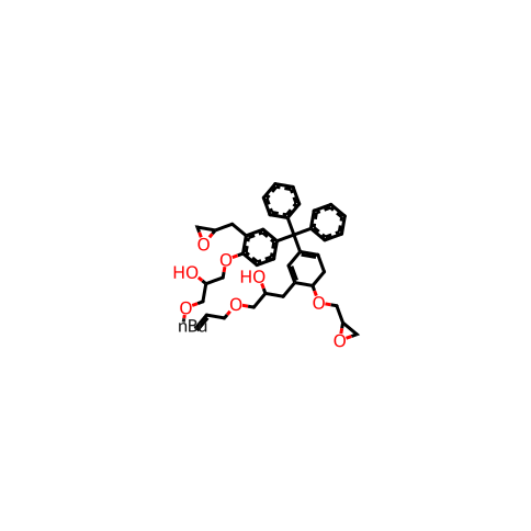 C=CCOCC(O)CC1=CC(C(c2ccccc2)(c2ccccc2)c2ccc(OCC(O)COCCCC)c(CC3CO3)c2)=CCC1OCC1CO1